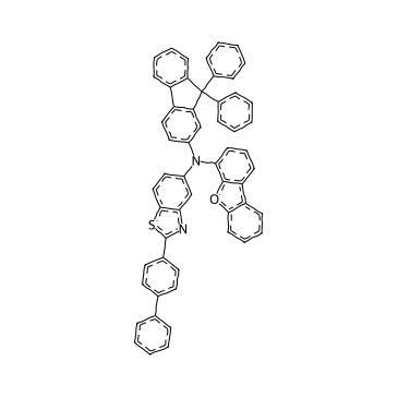 c1ccc(-c2ccc(-c3nc4cc(N(c5ccc6c(c5)C(c5ccccc5)(c5ccccc5)c5ccccc5-6)c5cccc6c5oc5ccccc56)ccc4s3)cc2)cc1